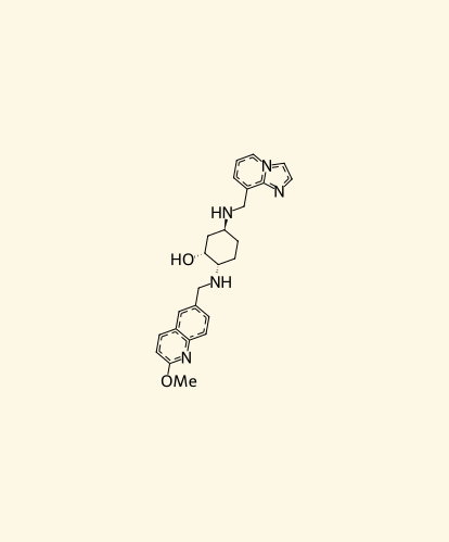 COc1ccc2cc(CN[C@H]3CC[C@H](NCc4cccn5ccnc45)C[C@H]3O)ccc2n1